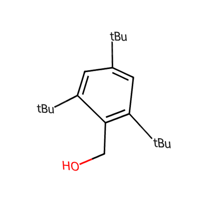 CC(C)(C)c1cc(C(C)(C)C)c(CO)c(C(C)(C)C)c1